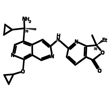 CC[C@]1(C)OC(=O)c2ccc(Nc3cc4c([C@](C)(N)C5CC5)cnc(OC5CC5)c4cn3)nc21